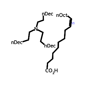 CCCCCCCC/C=C\CCCCCCCC(=O)O.CCCCCCCCCCCCN(CCCCCCCCCCCC)CCCCCCCCCCCC